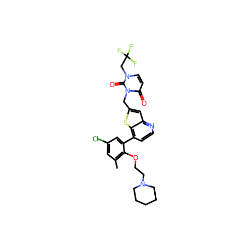 Cc1cc(Cl)cc(-c2ccnc3cc(Cn4c(=O)ccn(CC(F)(F)F)c4=O)sc23)c1OCCN1CCCCC1